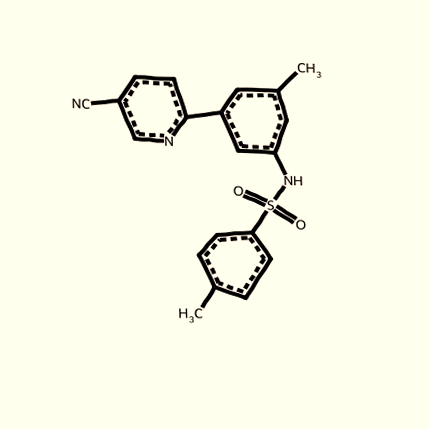 Cc1ccc(S(=O)(=O)Nc2cc(C)cc(-c3ccc(C#N)cn3)c2)cc1